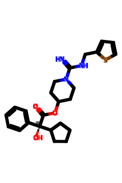 N=C(NCc1cccs1)N1CCC(OC(=O)[C@](O)(c2ccccc2)C2CCCC2)CC1